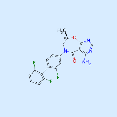 C[C@@H]1CN(c2ccc(-c3c(F)cccc3F)c(F)c2)C(=O)c2c(N)ncnc2O1